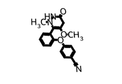 COC1=C(c2ccccc2Oc2ccc(C#N)cc2)N(C)NC(=O)C1